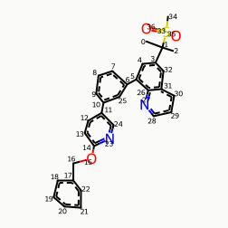 CC(C)(c1cc(-c2cccc(-c3ccc(OCc4ccccc4)nc3)c2)c2ncccc2c1)S(C)(=O)=O